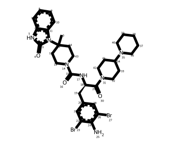 CC1(n2c(=O)[nH]c3ccccc32)CCN(C(=O)N[C@H](Cc2cc(Br)c(N)c(Br)c2)C(=O)N2CCC(N3CCCCC3)CC2)CC1